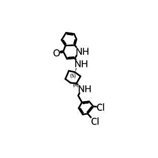 O=c1cc(N[C@H]2CCC[C@@H](NCc3ccc(Cl)c(Cl)c3)C2)[nH]c2ccccc12